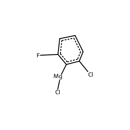 Fc1cccc(Cl)[c]1[Mg][Cl]